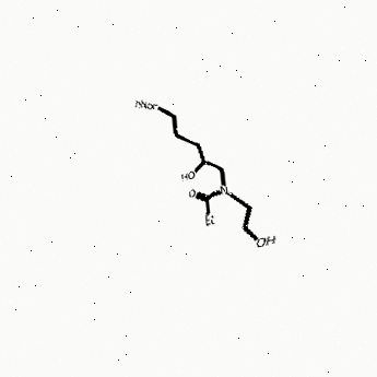 CCCCCCCCCCCCC(O)CN(CCO)C(=O)CC